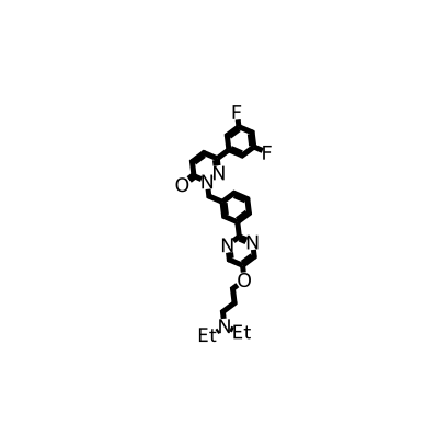 CCN(CC)CCCOc1cnc(-c2cccc(Cn3nc(-c4cc(F)cc(F)c4)ccc3=O)c2)nc1